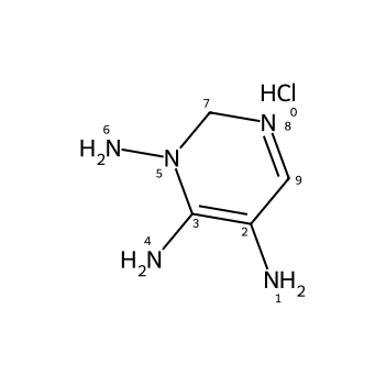 Cl.NC1=C(N)N(N)CN=C1